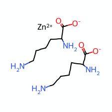 NCCCCC(N)C(=O)[O-].NCCCCC(N)C(=O)[O-].[Zn+2]